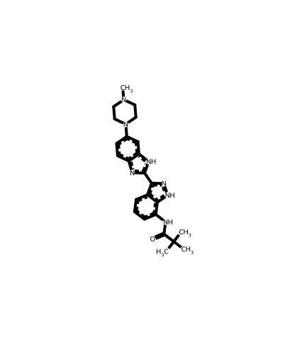 CN1CCN(c2ccc3nc(-c4n[nH]c5c(NC(=O)C(C)(C)C)cccc45)[nH]c3c2)CC1